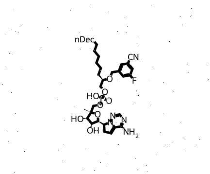 CCCCCCCCCCCCCCCC[C@H](COP(=O)(O)OC[C@@]1(C)O[C@@H](C2CC=C3C(N)=NC=NN32)[C@H](O)[C@@H]1O)OCc1cc(F)cc(C#N)c1